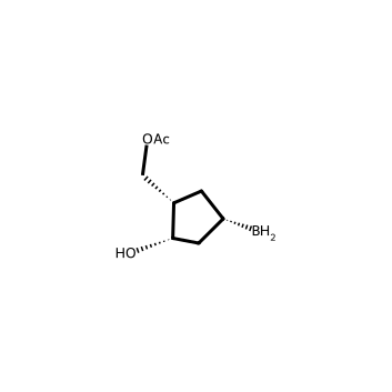 B[C@H]1C[C@@H](COC(C)=O)[C@@H](O)C1